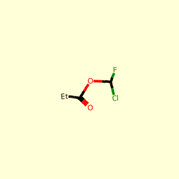 CCC(=O)OC(F)Cl